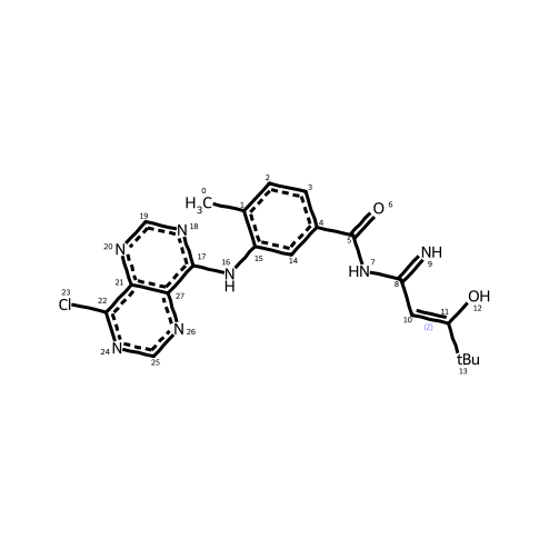 Cc1ccc(C(=O)NC(=N)/C=C(\O)C(C)(C)C)cc1Nc1ncnc2c(Cl)ncnc12